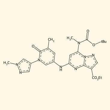 CCOC(=O)c1cnn2c(N(C)C(=O)OC(C)(C)C)cc(Nc3cc(C)c(=O)n(-c4cnn(C)c4)c3)nc12